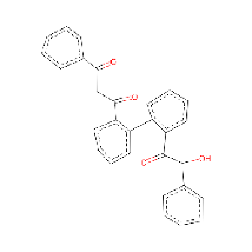 O=C(CC(=O)c1ccccc1-c1ccccc1C(=O)C(O)c1ccccc1)c1ccccc1